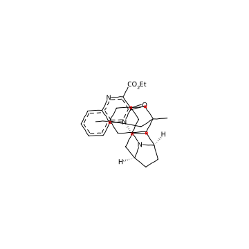 CCOC(=O)c1nc2ccccc2n([C@@H]2C[C@H]3CC[C@@H](C2)N3C23CC4CC(C)(CC(C)(C4)C2)C3)c1=O